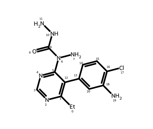 CCc1ncnc(N(N)C(=O)NN)c1-c1ccc(Cl)c(N)c1